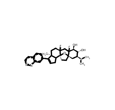 CN(C)[C@H]1C[C@@]23CC[C@]4(O2)C2CC=C(c5ccc6ccnnc6c5)[C@@]2(C)CCC4(F)CC3(F)[C@@H](O)[C@@H]1O